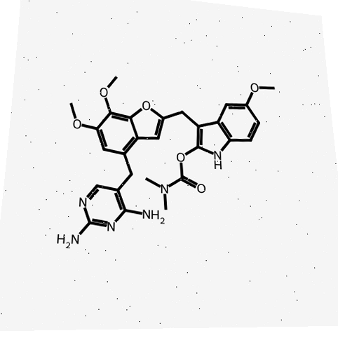 COc1ccc2[nH]c(OC(=O)N(C)C)c(Cc3cc4c(Cc5cnc(N)nc5N)cc(OC)c(OC)c4o3)c2c1